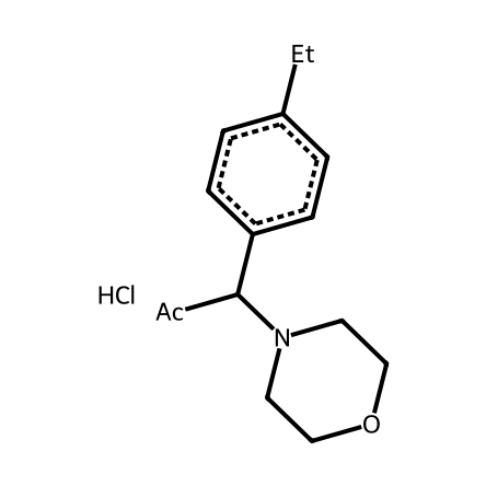 CCc1ccc(C(C(C)=O)N2CCOCC2)cc1.Cl